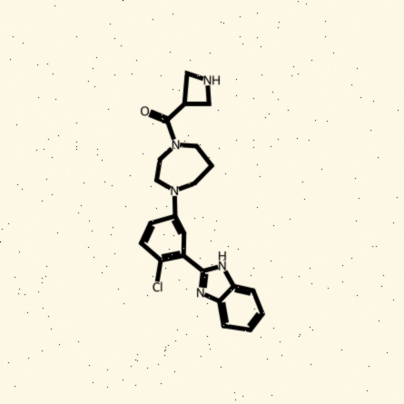 O=C(C1CNC1)N1CCCN(c2ccc(Cl)c(-c3nc4ccccc4[nH]3)c2)CC1